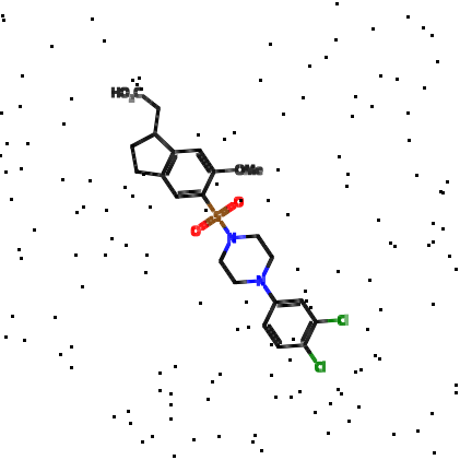 COc1cc2c(cc1S(=O)(=O)N1CCN(c3ccc(Cl)c(Cl)c3)CC1)CCC2CC(=O)O